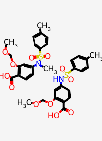 COCOc1cc(N(C)S(=O)(=O)c2ccc(C)cc2)ccc1C(=O)O.COCOc1cc(NS(=O)(=O)c2ccc(C)cc2)ccc1C(=O)O